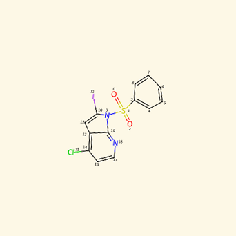 O=S(=O)(c1ccccc1)n1c(I)cc2c(Cl)ccnc21